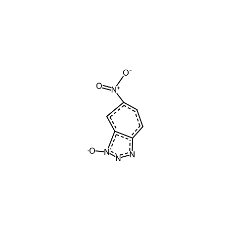 [O]n1nnc2ccc([N+](=O)[O-])cc21